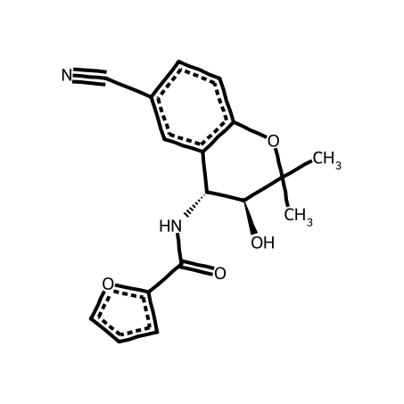 CC1(C)Oc2ccc(C#N)cc2[C@@H](NC(=O)c2ccco2)[C@@H]1O